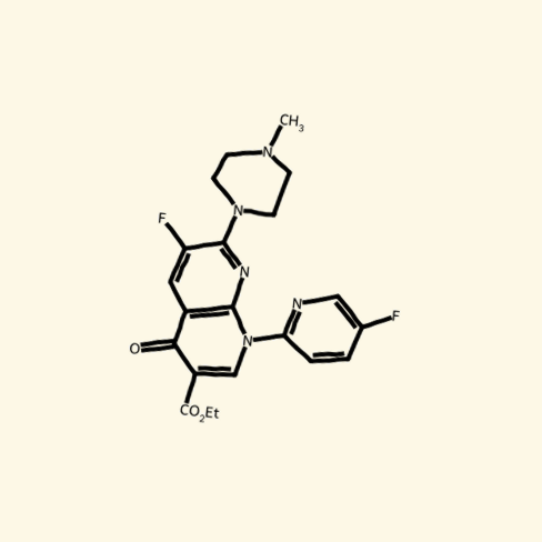 CCOC(=O)c1cn(-c2ccc(F)cn2)c2nc(N3CCN(C)CC3)c(F)cc2c1=O